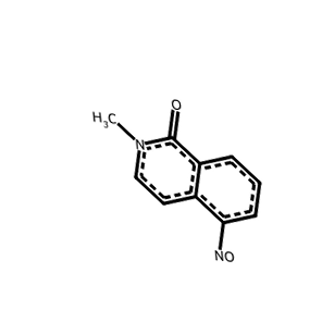 Cn1ccc2c(N=O)cccc2c1=O